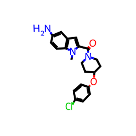 Cn1c(C(=O)N2CCC(Oc3ccc(Cl)cc3)CC2)cc2cc(N)ccc21